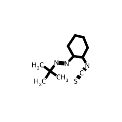 CC(C)(C)N=NC1CCCCC1N=C=S